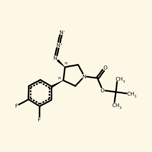 CC(C)(C)OC(=O)N1C[C@H](N=[N+]=[N-])[C@H](c2ccc(F)c(F)c2)C1